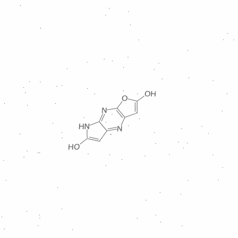 Oc1cc2nc3cc(O)oc3nc2[nH]1